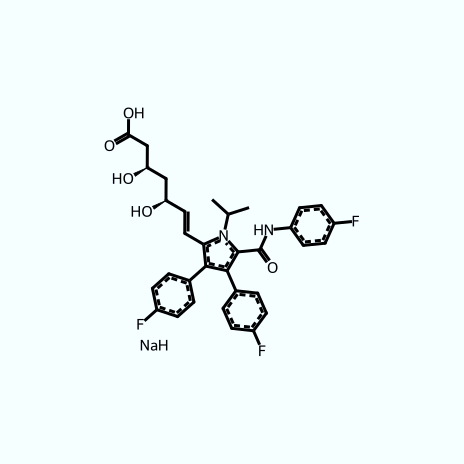 CC(C)n1c(C=C[C@@H](O)C[C@@H](O)CC(=O)O)c(-c2ccc(F)cc2)c(-c2ccc(F)cc2)c1C(=O)Nc1ccc(F)cc1.[NaH]